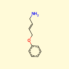 NCC=CCOc1ccccc1